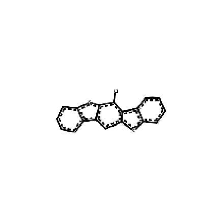 Clc1c2sc3ccccc3c2cc2sc3ccccc3c12